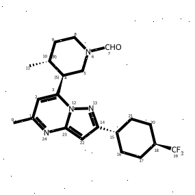 Cc1cc([C@@H]2CN(C=O)CC[C@H]2C)n2nc([C@H]3CC[C@H](C(F)(F)F)CC3)cc2n1